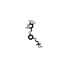 CC(C)(O)CCOc1cccc(OCc2cc(=O)c(O)n[nH]2)c1